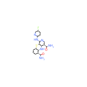 NC(=O)c1cccc2c1Nc1c(C(N)=O)cnc(Nc3ccc(F)cn3)c1S2